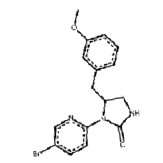 COc1cccc(CC2CNC(=O)N2c2ccc(Br)cn2)c1